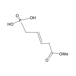 COC(=O)CC=CCP(=O)(O)O